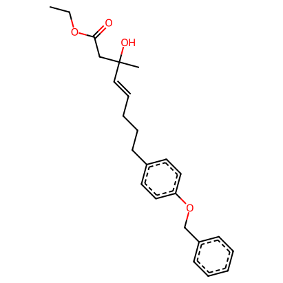 CCOC(=O)CC(C)(O)C=CCCCc1ccc(OCc2ccccc2)cc1